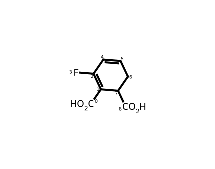 O=C(O)C1=C(F)C=CCC1C(=O)O